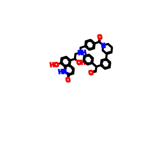 O=CC(c1ccccc1)c1cccc(C2=CCCN(C(=O)c3ccc(CNCC(O)c4ccc(O)c5[nH]c(=O)ccc45)cc3)C2)c1